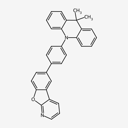 CC1(C)c2ccccc2N(c2ccc(-c3ccc4oc5ncccc5c4c3)cc2)c2ccccc21